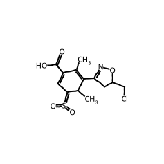 CC1=C(C2=NOC(CCl)C2)C(C)C(=S(=O)=O)C=C1C(=O)O